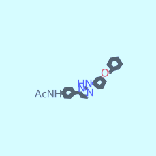 CC(=O)Nc1ccc(-c2ccnc(Nc3cccc(OCc4ccccc4)c3)n2)cc1